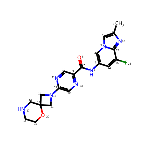 Cc1cn2cc(NC(=O)c3cnc(N4CC5(CNCCO5)C4)cn3)cc(F)c2n1